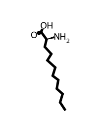 CCCCCCCCCC[C@H](N)C(=O)O